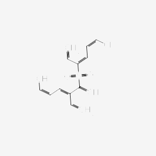 C=C/C(=C\C=C/C)C(=C)S(=O)(=O)/C(C=C)=C/C=C\C